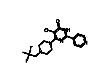 CC(F)(F)CN1CCN(c2nc(-c3ccncc3)[nH]c(=O)c2Cl)CC1